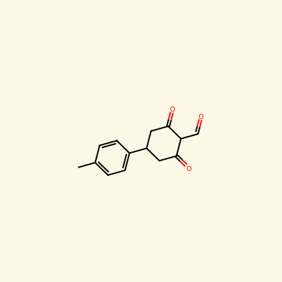 Cc1ccc(C2CC(=O)C(C=O)C(=O)C2)cc1